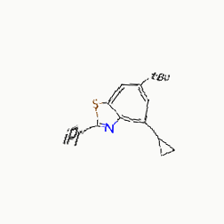 CC(C)c1nc2c(C3CC3)cc(C(C)(C)C)cc2s1